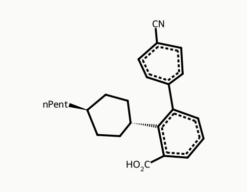 CCCCC[C@H]1CC[C@H](c2c(C(=O)O)cccc2-c2ccc(C#N)cc2)CC1